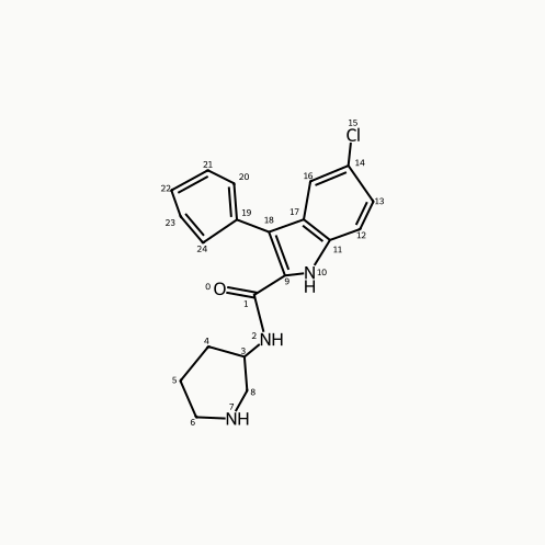 O=C(NC1CCCNC1)c1[nH]c2ccc(Cl)cc2c1-c1ccccc1